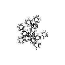 c1ccc(-c2cc(-c3ccccc3)cc(N3c4cc5nc(-c6ccccc6)n(-c6ccccc6)c5cc4N(c4cc(-c5ccccc5)cc(-c5ccccc5)c4)C3(c3ccccc3)c3ccccc3)c2)cc1